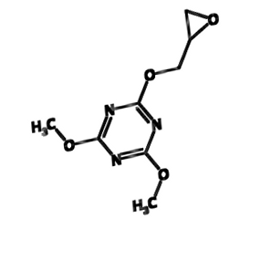 COc1nc(OC)nc(OCC2CO2)n1